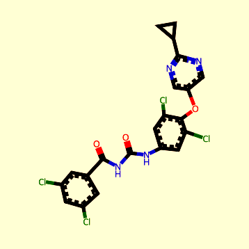 O=C(NC(=O)c1cc(Cl)cc(Cl)c1)Nc1cc(Cl)c(Oc2cnc(C3CC3)nc2)c(Cl)c1